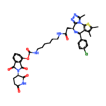 Cc1sc2c(c1C)C(c1ccc(Cl)cc1)=N[C@@H](CC(=O)NCCCCCCNC(=O)Oc1cccc3c1C(=O)N(C1CCC(=O)NC1=O)C3=O)c1nnc(C)n1-2